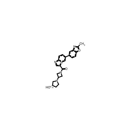 Cc1nc2cc(-c3ccc4ncc(C(=O)N5CC(N6CC[C@H](O)C6)C5)n4c3)ccc2o1